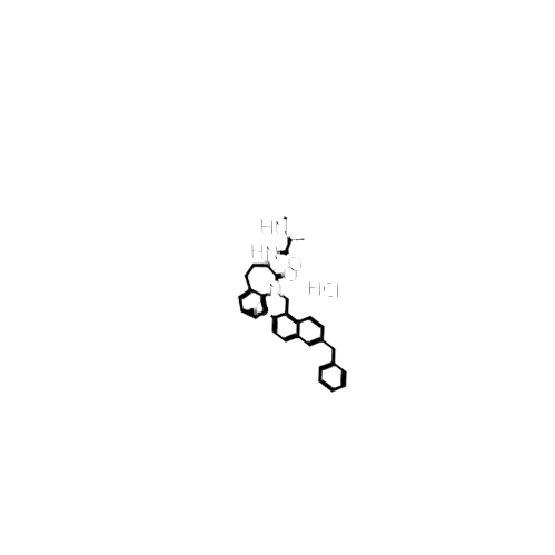 CN[C@@H](C)C(=O)N[C@H]1CCc2ccccc2N(Cc2c(OC)ccc3cc(Cc4ccccc4)ccc23)C1=O.Cl